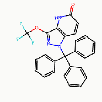 O=c1ccc2c([nH]1)c(OC(F)(F)F)nn2C(c1ccccc1)(c1ccccc1)c1ccccc1